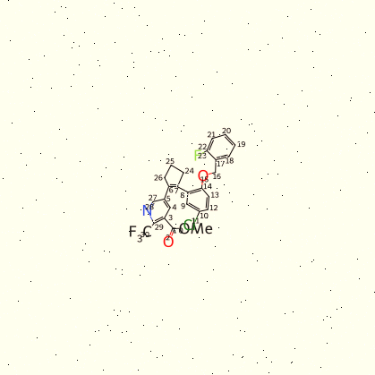 COC(=O)c1cc(C2=C(c3cc(Cl)ccc3OCc3ccccc3F)CCC2)cnc1C(F)(F)F